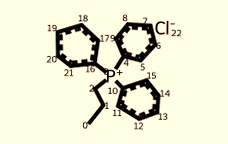 CCC[P+](c1ccccc1)(c1ccccc1)c1ccccc1.[Cl-]